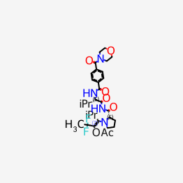 CC(=O)O/C(=C(/C(C)C)N1CCC[C@H]1C(=O)NC(=O)[C@@H](NC(=O)c1ccc(C(=O)N2CCOCC2)cc1)C(C)C)C(C)(F)F